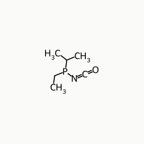 CCP(N=C=O)C(C)C